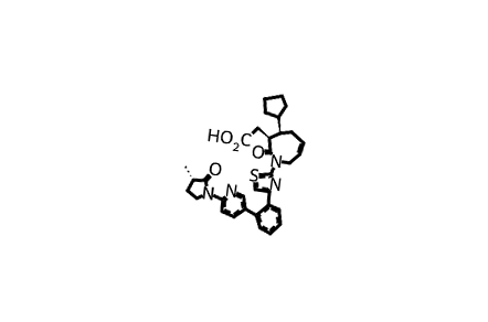 C[C@H]1CCN(c2ccc(-c3ccccc3-c3csc(N4C/C=C\C[C@H](C5CCCC5)[C@H](CC(=O)O)C4=O)n3)cn2)C1=O